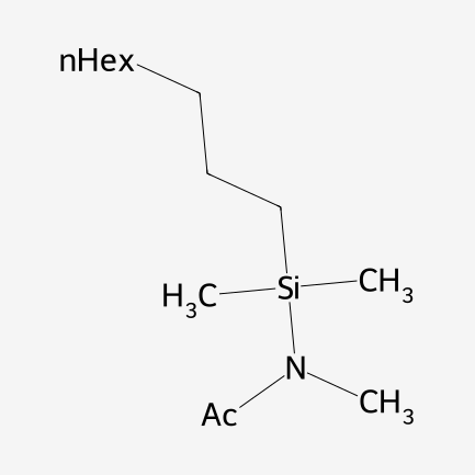 CCCCCCCCC[Si](C)(C)N(C)C(C)=O